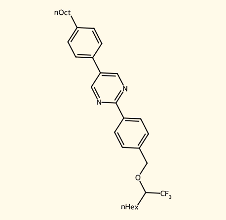 CCCCCCCCc1ccc(-c2cnc(-c3ccc(COC(CCCCCC)C(F)(F)F)cc3)nc2)cc1